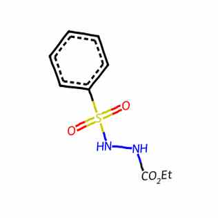 CCOC(=O)NNS(=O)(=O)c1ccccc1